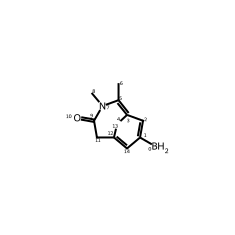 BC1=C/C(C)=C(\C)N(C)C(=O)C\C(C)=C\1